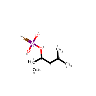 CC(C)CC(C)OP([O-])([O-])=S.[Cu+2]